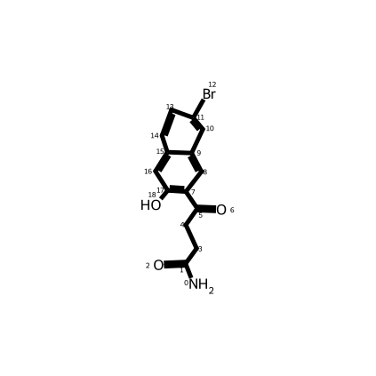 NC(=O)CCC(=O)c1cc2cc(Br)ccc2cc1O